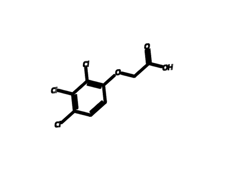 O=C(O)COc1ccc(Cl)c(Cl)c1Cl